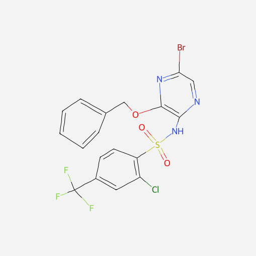 O=S(=O)(Nc1ncc(Br)nc1OCc1ccccc1)c1ccc(C(F)(F)F)cc1Cl